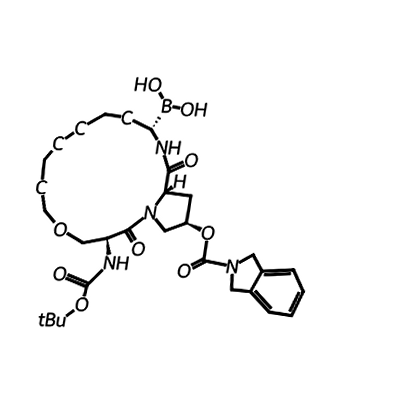 CC(C)(C)OC(=O)N[C@H]1COCCCCCCC[C@H](B(O)O)NC(=O)[C@@H]2C[C@@H](OC(=O)N3Cc4ccccc4C3)CN2C1=O